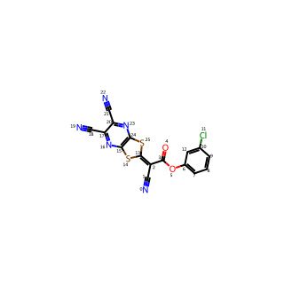 N#CC(C(=O)Oc1cccc(Cl)c1)=C1Sc2nc(C#N)c(C#N)nc2S1